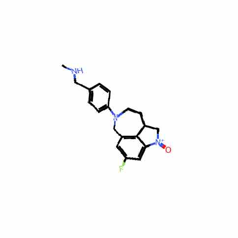 CNCc1ccc(N2CCC3C[N+](=O)c4cc(F)cc(c43)C2)cc1